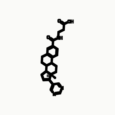 C[C@]12CCC3c4ccc(C(=O)NCCC(=O)O)cc4CCC3C1CC=C2c1cncnc1